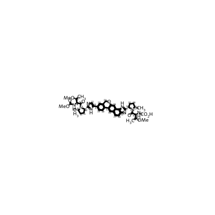 COC(=O)N[C@H](C(=O)N1[C@@H](C)CC[C@H]1c1ncc(-c2ccc3c(c2)COc2cc4c(ccc5nc([C@@H]6CC[C@H](C)N6C(=O)[C@@H](NC(=O)O)[C@H](C)OC)[nH]c54)cc2-3)[nH]1)[C@H](C)OC